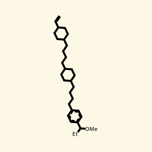 C=CC1CCC(CCCCC2CCC(CCCCc3ccc(C(CC)OC)cc3)CC2)CC1